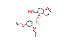 C=CCOc1ccc(C(=O)COc2c(CO)ccc3c2C=CC(C)(C)O3)c(OCC=C)c1